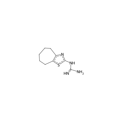 N=C(N)Nc1nc2c(s1)CCCCC2